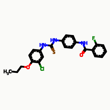 CCCOc1ccc(NC(=S)Nc2ccc(NC(=O)c3ccccc3F)cc2)cc1Cl